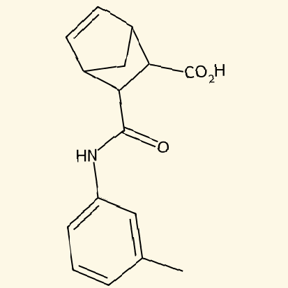 Cc1cccc(NC(=O)C2C3C=CC(C3)C2C(=O)O)c1